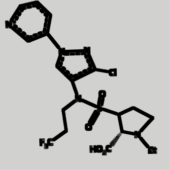 CCN1CCC(S(=O)(=O)N(CCC(F)(F)F)c2cn(-c3cccnc3)nc2Cl)[C@H]1C(=O)O